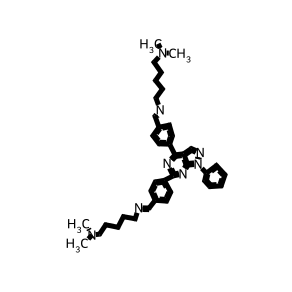 CN(C)CCCCCN=Cc1ccc(-c2nc(-c3ccc(C=NCCCCCN(C)C)cc3)c3cnn(-c4ccccc4)c3n2)cc1